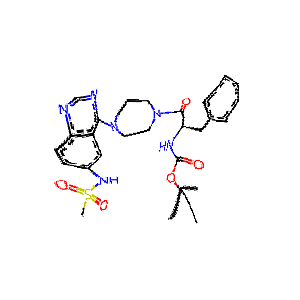 CC(C)(C)OC(=O)N[C@H](Cc1ccccc1)C(=O)N1CCN(c2ncnc3ccc(NS(C)(=O)=O)cc23)CC1